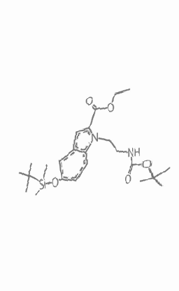 CCOC(=O)c1cc2cc(O[Si](C)(C)C(C)(C)C)ccc2n1CCNC(=O)OC(C)(C)C